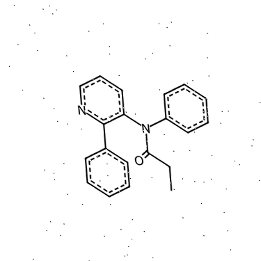 CCC(=O)N(c1ccccc1)c1cccnc1-c1ccccc1